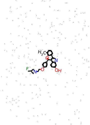 Cc1cccc2c1OC(c1ccc(OCCN3CC(CF)C3)cc1)c1c-2cnc2cc(O)ccc12